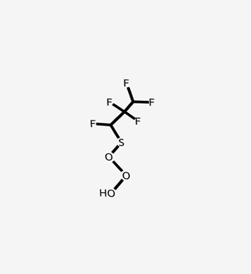 OOOSC(F)C(F)(F)C(F)F